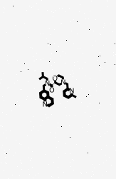 Cc1cccc(CN2CCO[C@@H](C(=O)N(Cc3ccc4ncccc4c3)CC(C)C)C2)n1